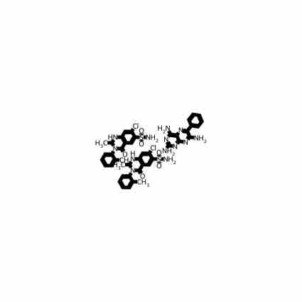 Cc1ccccc1N1C(=O)c2cc(S(N)(=O)=O)c(Cl)cc2NC1C.Cc1ccccc1N1C(=O)c2cc(S(N)(=O)=O)c(Cl)cc2NC1C.Nc1nc(N)c2nc(-c3ccccc3)c(N)nc2n1